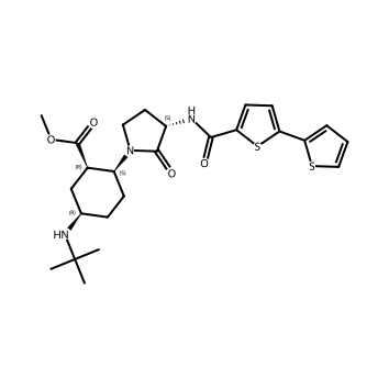 COC(=O)[C@@H]1C[C@H](NC(C)(C)C)CC[C@@H]1N1CC[C@H](NC(=O)c2ccc(-c3cccs3)s2)C1=O